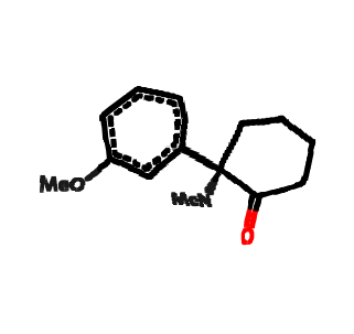 CN[C@@]1(c2cccc(OC)c2)CCCCC1=O